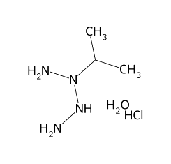 CC(C)N(N)NN.Cl.O